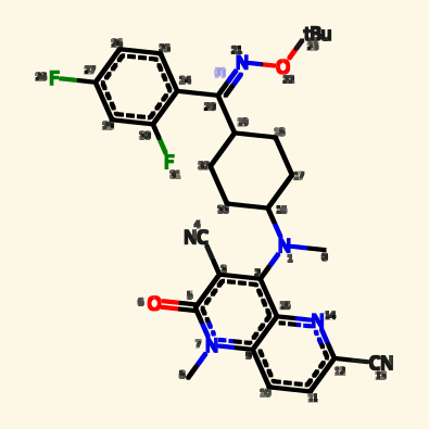 CN(c1c(C#N)c(=O)n(C)c2ccc(C#N)nc12)C1CCC(/C(=N\OC(C)(C)C)c2ccc(F)cc2F)CC1